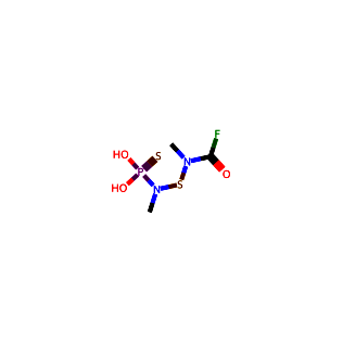 CN(SN(C)P(O)(O)=S)C(=O)F